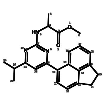 COC(=O)C(C)Nc1nc(-c2ccc3c4c(cccc24)CC3)cc(C(C)C)n1